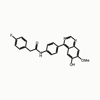 COc1cc2ncnc(-c3ccc(NC(=O)Cc4ccc(F)cc4)cc3)c2cc1O